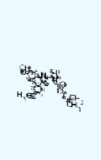 COc1ccc(-c2nc(-c3cccn3CC(=O)OCCC(C)C)sc2-c2ccc(OC)cc2)cc1